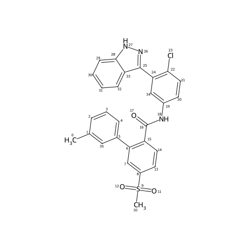 Cc1cccc(-c2cc(S(C)(=O)=O)ccc2C(=O)Nc2ccc(Cl)c(-c3n[nH]c4ccccc34)c2)c1